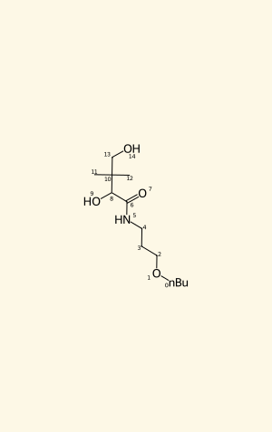 CCCCOCCCNC(=O)C(O)C(C)(C)CO